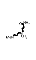 CNCCCN(C)C/C=C/C(N)=O